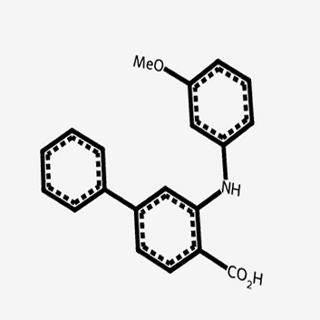 COc1cccc(Nc2cc(-c3ccccc3)ccc2C(=O)O)c1